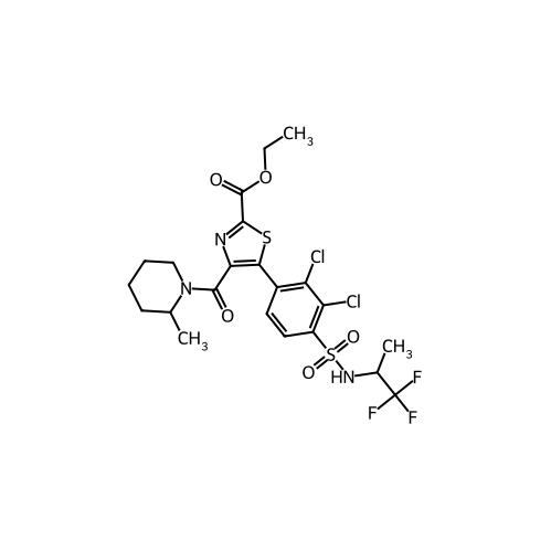 CCOC(=O)c1nc(C(=O)N2CCCCC2C)c(-c2ccc(S(=O)(=O)NC(C)C(F)(F)F)c(Cl)c2Cl)s1